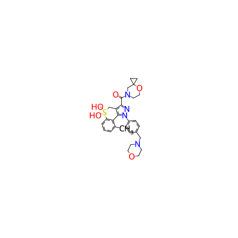 Cc1cccc2c1-c1c(c(C(=O)N3CCOC4(CC4)C3)nn1-c1ccc(CN3CCOCC3)cc1)CS2(O)O